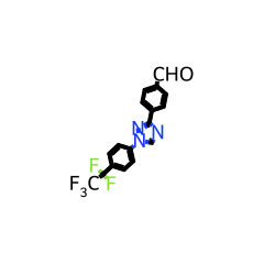 O=Cc1ccc(-c2ncn(-c3ccc(C(F)(F)C(F)(F)F)cc3)n2)cc1